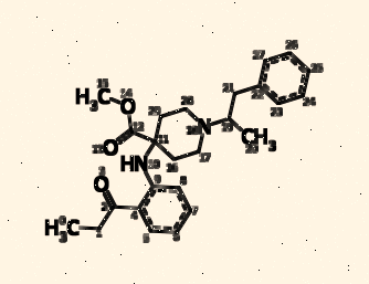 CCC(=O)c1ccccc1NC1(C(=O)OC)CCN(C(C)Cc2ccccc2)CC1